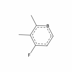 Cc1bccc(F)c1C